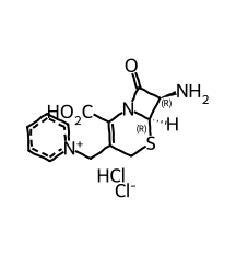 Cl.N[C@@H]1C(=O)N2C(C(=O)O)=C(C[n+]3ccccc3)CS[C@H]12.[Cl-]